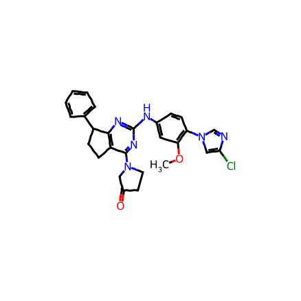 COc1cc(Nc2nc3c(c(N4CCC(=O)C4)n2)CCC3c2ccccc2)ccc1-n1cnc(Cl)c1